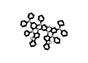 c1ccc(N(c2ccccc2)c2cc3c4c(c2)N(c2ccccc2)c2c(ccc5c2oc2ccccc25)B4c2cc4c(cc2S3)N(c2ccccc2)c2cc(N(c3ccccc3)c3ccccc3)cc3c2B4c2ccc4c(oc5ccccc54)c2N3c2ccccc2)cc1